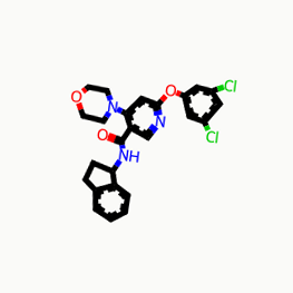 O=C(NC1CCc2ccccc21)c1cnc(Oc2cc(Cl)cc(Cl)c2)cc1N1CCOCC1